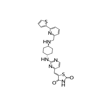 O=C1NC(=O)/C(=C/c2ccnc(N[C@H]3CC[C@H](NCc4cccc(-c5cccs5)n4)CC3)n2)S1